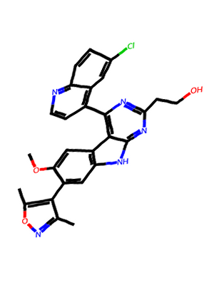 COc1cc2c(cc1-c1c(C)noc1C)[nH]c1nc(CCO)nc(-c3ccnc4ccc(Cl)cc34)c12